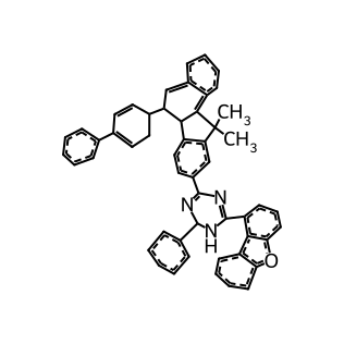 CC1(C)C2=c3ccccc3=CC(C3C=CC(c4ccccc4)=CC3)C2c2ccc(C3=NC(c4ccccc4)NC(c4cccc5oc6ccccc6c45)=N3)cc21